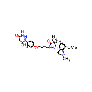 COc1ccc(C2NN(CCCCOc3ccc(C4=NNC(=O)CC4C)cc3)C(=O)C2(C)C)c2ccc(C)nc12